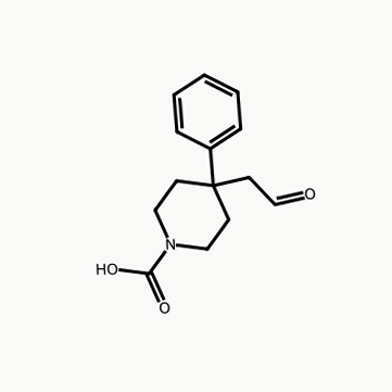 O=CCC1(c2ccccc2)CCN(C(=O)O)CC1